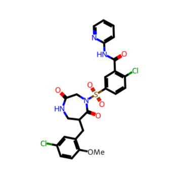 COc1ccc(Cl)cc1CC1CNC(=O)CN(S(=O)(=O)c2ccc(Cl)c(C(=O)Nc3ccccn3)c2)C1=O